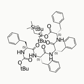 CC(C)(C)OC(=O)N[C@@H](Cc1ccccc1)C(=O)N[C@@H](Cc1ccccc1)C(=O)N[C@@H](Cc1ccccc1)C(=O)N[C@@H](Cc1ccccc1)C(=O)O[Si](C[Si](C)(C)C)(C(C)(C)C)C(C)(C)C